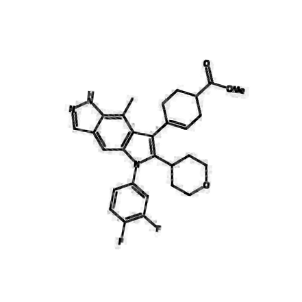 COC(=O)C1CC=C(c2c(C3CCOCC3)n(-c3ccc(F)c(F)c3)c3cc4cn[nH]c4c(C)c23)CC1